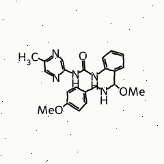 COc1ccc(CNC(OC)c2ccccc2NC(=O)Nc2cnc(C)cn2)cc1